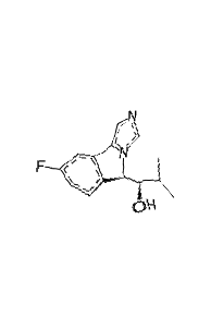 CC(C)[C@@H](O)[C@H]1c2ccc(F)cc2-c2cncn21